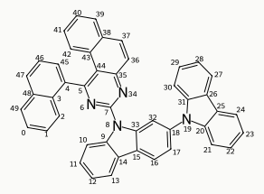 c1ccc2c(-c3nc(-n4c5ccccc5c5ccc(-n6c7ccccc7c7ccccc76)cc54)nc4ccc5ccccc5c34)cccc2c1